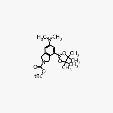 CN(C)c1cc2c(c(B3OC(C)(C)C(C)(C)O3)c1)CN(C(=O)OC(C)(C)C)C2